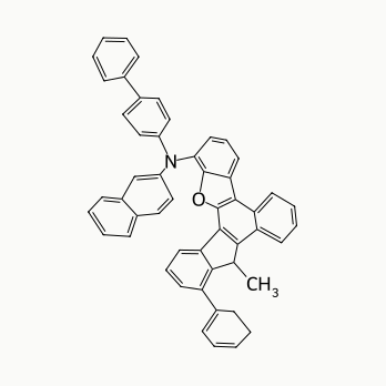 CC1c2c(C3=CC=CCC3)cccc2-c2c1c1ccccc1c1c2oc2c(N(c3ccc(-c4ccccc4)cc3)c3ccc4ccccc4c3)cccc21